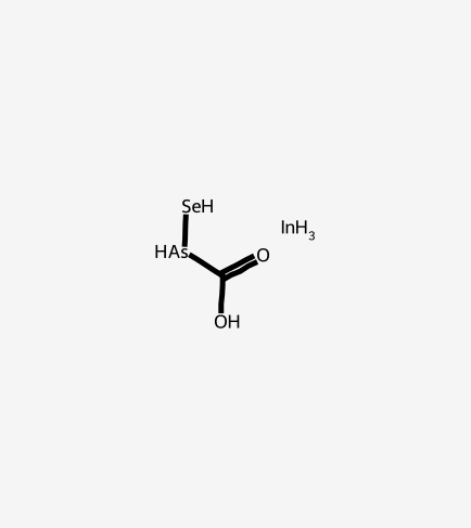 O=C(O)[AsH][SeH].[InH3]